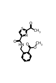 COC(=O)c1ccccc1CNC(=O)c1csc(C(C)=O)n1